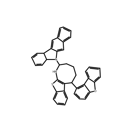 C1=CC2c3cc4ccccc4cc3N(C3CCCC(c4cccc5oc6ccccc6c45)c4c(sc5ccccc45)N3)C2C=C1